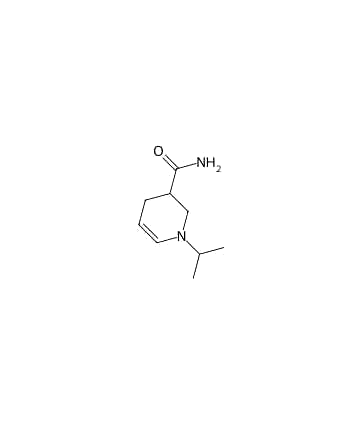 CC(C)N1C=CCC(C(N)=O)C1